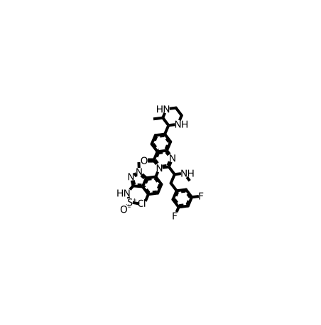 CNC(Cc1cc(F)cc(F)c1)c1nc2cc(C3NCCNC3C)ccc2c(=O)n1-c1ccc(Cl)c2c(N[S+](C)[O-])nn(C)c12